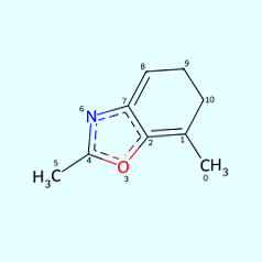 CC1=c2oc(C)nc2=CCC1